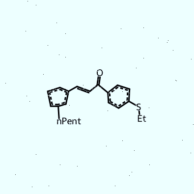 CCCCCc1cccc(C=CC(=O)c2ccc(SCC)cc2)c1